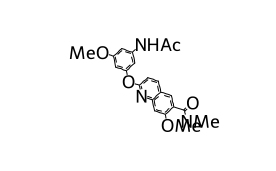 CNC(=O)c1cc2ccc(Oc3cc(NC(C)=O)cc(OC)c3)nc2cc1OC